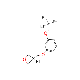 CCC(CC)(CC)COc1cccc(OCC2(CC)COC2)c1